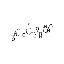 COc1ncc(NC(=O)Nc2cc(F)cc(OC3CCCN(C(C)=O)C3)c2)cn1